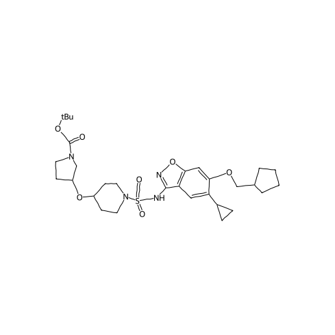 CC(C)(C)OC(=O)N1CCC(OC2CCN(S(=O)(=O)Nc3noc4cc(OCC5CCCC5)c(C5CC5)cc34)CC2)C1